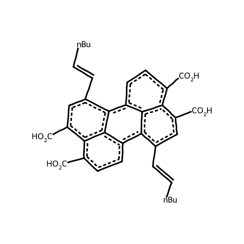 CCCCC=Cc1cc(C(=O)O)c2c(C(=O)O)ccc3c4c(C=CCCCC)cc(C(=O)O)c5c(C(=O)O)ccc(c1c23)c54